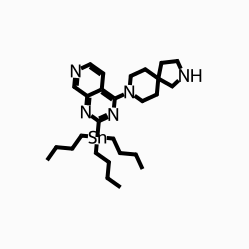 CCC[CH2][Sn]([CH2]CCC)([CH2]CCC)[c]1nc(N2CCC3(CCNC3)CC2)c2ccncc2n1